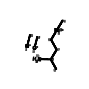 C[O-].C[O-].[CH3][Sn+2][CH2]CC(C)N